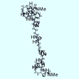 CN[C@@H](C)C(=O)N[C@H]1CCCC[C@H]2CC[C@@H](C(=O)NCc3cn(CCCCNC(=O)NCCCCn4cc([C@@H](NC(=O)[C@@H]5CC[C@@H]6CCCC[C@H](NC(=O)[C@H](C)NC)C(=O)N65)c5ccccc5)nn4)nn3)N2C1=O